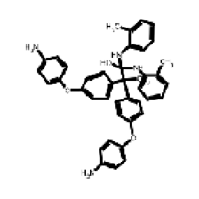 Cc1ccccc1NC(O)(Nc1ccccc1C)C(C)(c1ccc(Oc2ccc(N)cc2)cc1)c1ccc(Oc2ccc(N)cc2)cc1